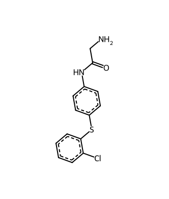 NCC(=O)Nc1ccc(Sc2ccccc2Cl)cc1